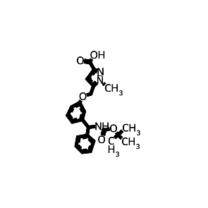 Cn1nc(C(=O)O)cc1COc1cccc(C(NC(=O)OC(C)(C)C)c2ccccc2)c1